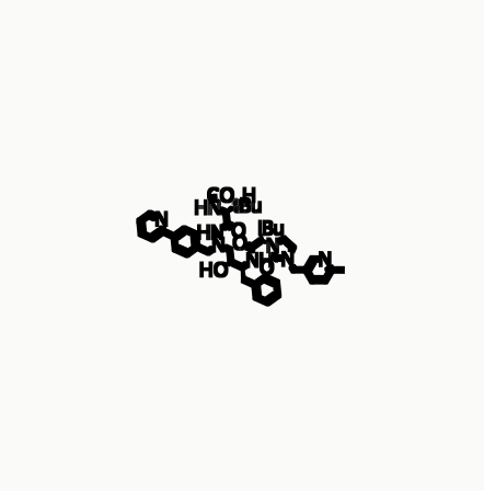 CC[C@H](C)[C@@H](C(=O)N[C@@H](Cc1ccccc1)[C@@H](O)CN(Cc1ccc(-c2ccccn2)cc1)NC(=O)[C@@H](NC(=O)O)C(C)(C)C)N1CCN(Cc2ccc(C)nc2)C1=O